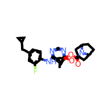 Cc1c(Nc2ccc(CC3CC3)cc2F)ncnc1OC1CC2CCC(C1)N2C(=O)OC1CC1